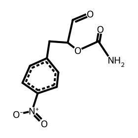 NC(=O)OC(C=O)Cc1ccc([N+](=O)[O-])cc1